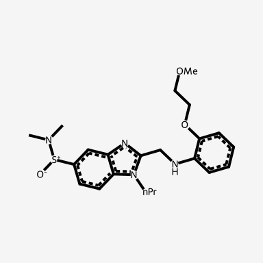 CCCn1c(CNc2ccccc2OCCOC)nc2cc([S+]([O-])N(C)C)ccc21